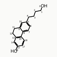 OCCCCc1ccc2c(c1)CCc1cc(O)ccc1-2